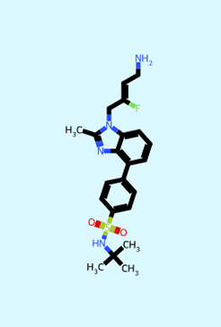 Cc1nc2c(-c3ccc(S(=O)(=O)NC(C)(C)C)cc3)cccc2n1CC(F)=CCN